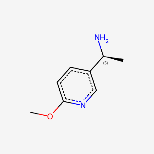 COc1ccc([C@H](C)N)cn1